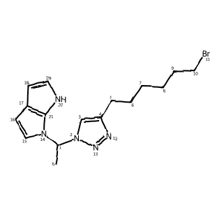 CC(n1cc(CCCCCCBr)nn1)n1ccc2cc[nH]c21